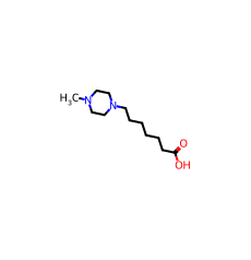 CN1CCN(CCCCCCC(=O)O)CC1